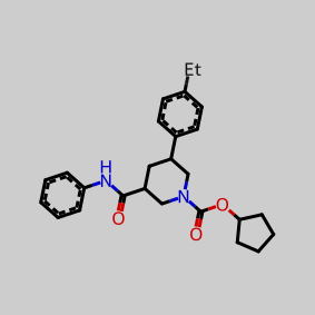 CCc1ccc(C2CC(C(=O)Nc3ccccc3)CN(C(=O)OC3CCCC3)C2)cc1